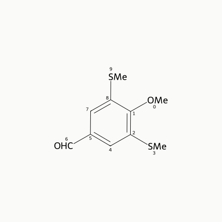 COc1c(SC)cc(C=O)cc1SC